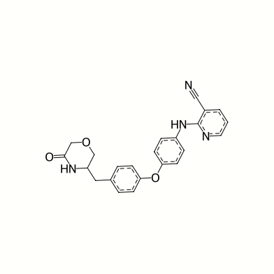 N#Cc1cccnc1Nc1ccc(Oc2ccc(CC3COCC(=O)N3)cc2)cc1